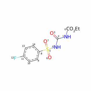 CCOC(=O)NC(=O)NS(=O)(=O)c1ccc(F)cc1